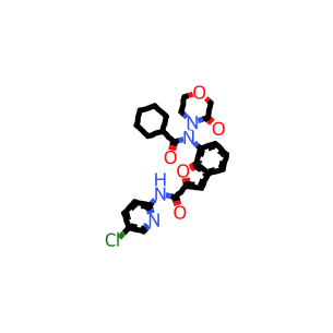 O=C(Nc1ccc(Cl)cn1)c1cc2cccc(N(C(=O)C3CCCCC3)N3CCOCC3=O)c2o1